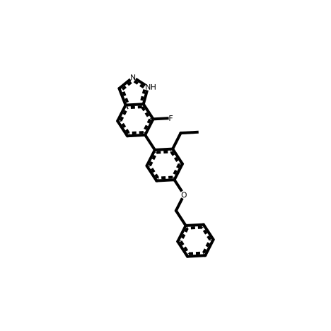 CCc1cc(OCc2ccccc2)ccc1-c1ccc2cn[nH]c2c1F